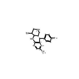 CCC1CNCCC1Nc1ncc(C(F)(F)F)nc1Cc1ccc(F)cc1